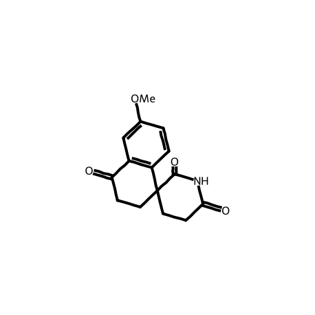 COc1ccc2c(c1)C(=O)CCC21CCC(=O)NC1=O